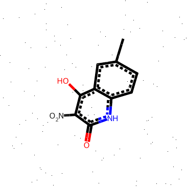 Cc1ccc2[nH]c(=O)c([N+](=O)[O-])c(O)c2c1